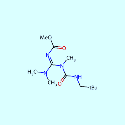 COC(=O)N=C(N(C)C)N(C)C(=O)NCC(C)(C)C